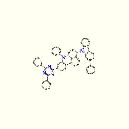 c1ccc(-c2ccc3c4ccccc4n(-c4ccc5c6c(cccc46)-c4ccc(-c6nc(-c7ccccc7)nc(-c7ccccc7)n6)cc4N5c4ccccc4)c3c2)cc1